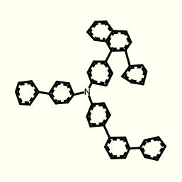 c1ccc(-c2ccc(N(c3ccc(-c4cccc(-c5ccccc5)c4)cc3)c3ccc(-c4c(-c5ccccc5)ccc5ccccc45)cc3)cc2)cc1